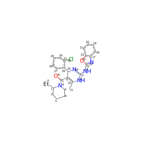 CCC1CCCCN1C(=O)C1=C(C)NC(Nc2nc3ccccc3o2)=NC1c1ccccc1Cl